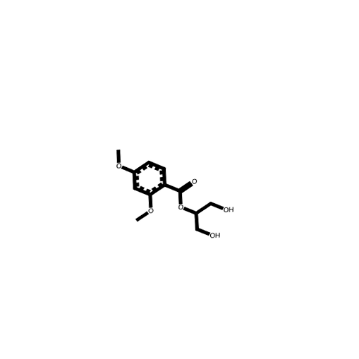 COc1ccc(C(=O)OC(CO)CO)c(OC)c1